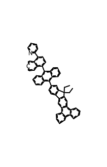 CCC1(CC)c2cc(-c3c4ccccc4c(-c4ccc(-c5ccccn5)c5ccccc45)c4ccccc34)ccc2-c2cc3c4ccccc4c4ccccc4c3cc21